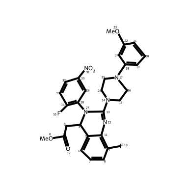 COC(=O)CC1c2cccc(F)c2N=C(N2CCN(c3cccc(OC)c3)CC2)N1c1cc([N+](=O)[O-])ccc1F